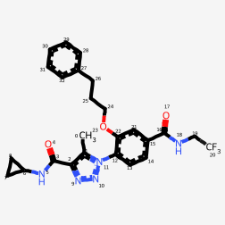 Cc1c(C(=O)NC2CC2)nnn1-c1ccc(C(=O)NCC(F)(F)F)cc1OCCCc1ccccc1